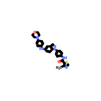 Cc1ncsc1C(=O)Nc1ccc(-n2ncc3cc(Nc4ccc(N5CCOCC5)cc4)ccc32)cc1